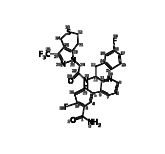 NC(=O)c1cc(-c2cccnc2C(Cc2cccc(F)c2)NC(=O)Cn2nc(C(F)(F)F)c3c2CCSC3)ccc1F